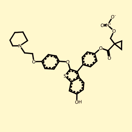 O=C(Oc1ccc(-c2c(Oc3ccc(OCCN4CCCCC4)cc3)sc3cc(O)ccc23)cc1)C1(CO[N+](=O)[O-])CC1